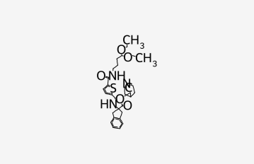 CCOC(CCCNC(=O)c1ccc(CNC2(C(=O)OC3CN4CCC3CC4)Cc3ccccc3C2)s1)OCC